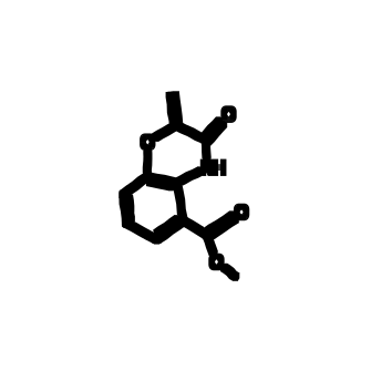 C=C1Oc2cccc(C(=O)OC)c2NC1=O